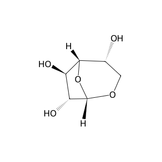 O[C@@H]1[C@@H](O)[C@H]2OC[C@@H](O)[C@@H]1O2